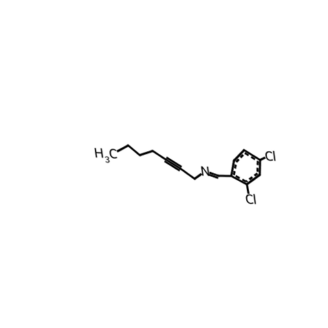 CCCCC#CC/N=C/c1ccc(Cl)cc1Cl